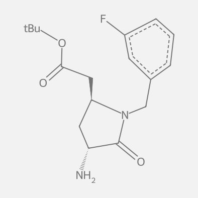 CC(C)(C)OC(=O)C[C@@H]1C[C@@H](N)C(=O)N1Cc1cccc(F)c1